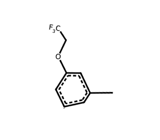 Cc1c[c]cc(OCC(F)(F)F)c1